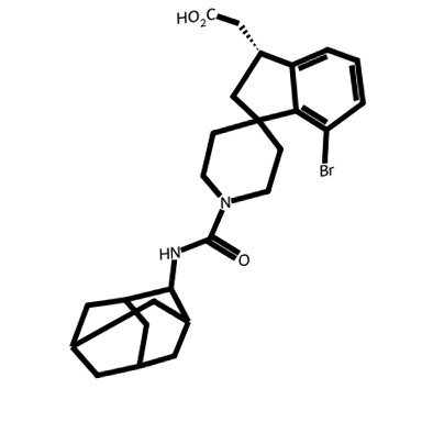 O=C(O)C[C@H]1CC2(CCN(C(=O)NC3C4CC5CC(C4)CC3C5)CC2)c2c(Br)cccc21